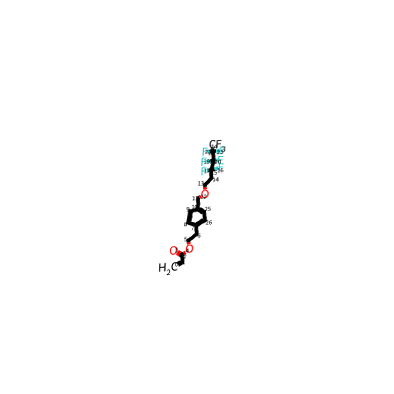 C=CC(=O)OCCc1ccc(COCCC(F)(F)C(F)(F)C(F)(F)C(F)(F)F)cc1